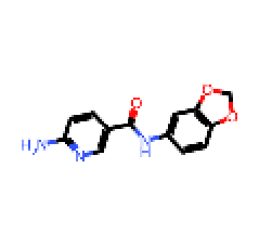 Nc1ccc(C(=O)Nc2ccc3c(c2)OCO3)cn1